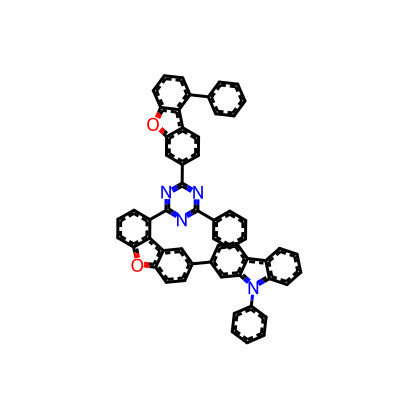 c1ccc(-c2nc(-c3ccc4c(c3)oc3cccc(-c5ccccc5)c34)nc(-c3cccc4oc5ccc(-c6ccc7c8ccccc8n(-c8ccccc8)c7c6)cc5c34)n2)cc1